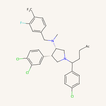 CC(=O)CCC(c1ccc(Cl)cc1)N1C[C@H](c2ccc(Cl)c(Cl)c2)[C@H](N(C)Cc2ccc(C(F)(F)F)c(F)c2)C1